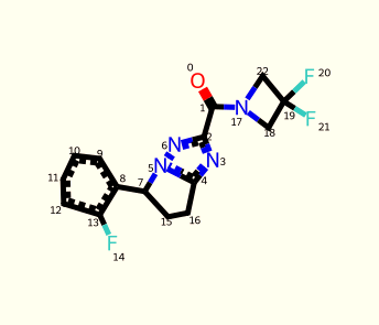 O=C(c1nc2n(n1)C(c1ccccc1F)CC2)N1CC(F)(F)C1